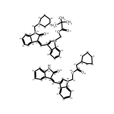 CC(C)(C)C(=O)OCn1cc(C=C2C(=O)N(CN3CCCCC3)c3ccccc32)c2ccccc21.O=C(CC1CCCCC1)OCn1cc(C=C2C(=O)Nc3ccccc32)c2ccccc21